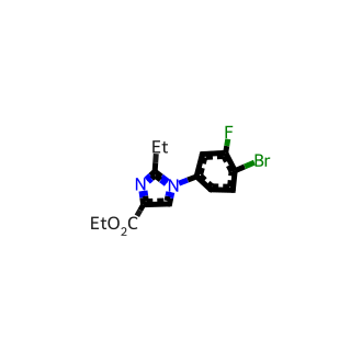 CCOC(=O)c1cn(-c2ccc(Br)c(F)c2)c(CC)n1